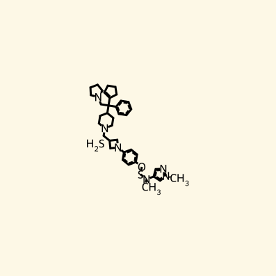 CN(SOc1ccc(N2CC(CN3CCC(C(CN4CCCC4)(C4=CCCC4)c4ccccc4)CC3)C2)cc1)c1cnn(C)c1.S